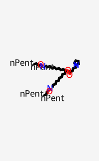 CCCCCC(CCCCC)CCON=CCCCCCCCCC(CCCCCCCCC=NOCCC(CCCCC)CCCCC)OC(=O)CCCN1CCCC1